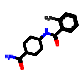 NC(=O)C1CCC(NC(=O)c2ccccc2[N+](=O)[O-])CC1